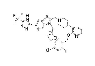 Fc1cc(Cl)ccc1COc1ncccc1C1=CCN(Cc2nc3cc(-c4nnc(C(F)(F)F)[nH]4)ncc3n2C[C@@H]2CCO2)CC1